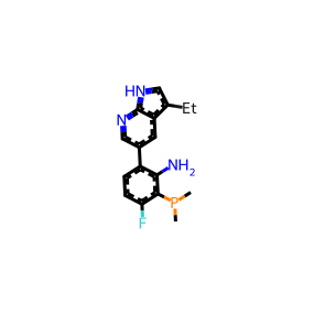 CCc1c[nH]c2ncc(-c3ccc(F)c(P(C)C)c3N)cc12